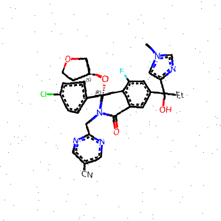 CCC(O)(c1cc(F)c2c(c1)C(=O)N(Cc1ncc(C#N)cn1)[C@@]2(O[C@H]1CCOC1)c1ccc(Cl)cc1)c1cn(C)cn1